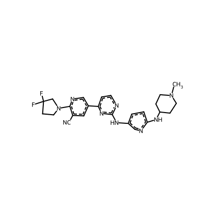 CN1CCC(Nc2ccc(Nc3nccc(-c4cnc(N5CCC(F)(F)C5)c(C#N)c4)n3)cn2)CC1